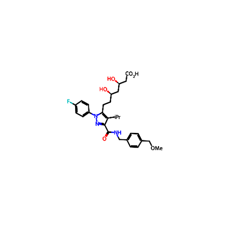 COCc1ccc(CNC(=O)c2nn(-c3ccc(F)cc3)c(CC[C@@H](O)C[C@@H](O)CC(=O)O)c2C(C)C)cc1